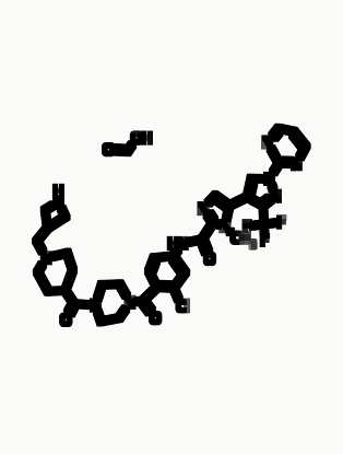 Cn1c(-c2cn(-c3ncccn3)nc2C(F)(F)F)cnc1C(=O)Nc1ccc(C(=O)N2CCN(C(=O)C3CCN(CC4CNC4)CC3)CC2)c(Cl)c1.O=CO